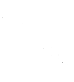 CCCOCCOCCOCCC(=O)NNC(C)C